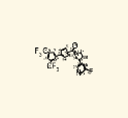 O=C(c1ccc(-c2cc(C(F)(F)F)cc(C(F)(F)F)c2)cc1)N1CCC(c2cncc(F)c2)C1